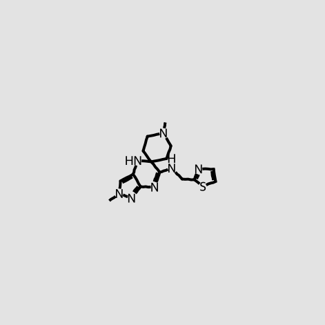 CN1CCC2(CC1)Nc1cn(C)nc1N=C2NCc1nccs1